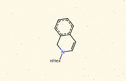 CCCCCCN1C=Cc2ccccc2C1